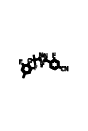 Cc1cc(F)c(OC(C)(C)c2nnc(-c3ccc(C#N)cc3F)n2C)c(F)c1